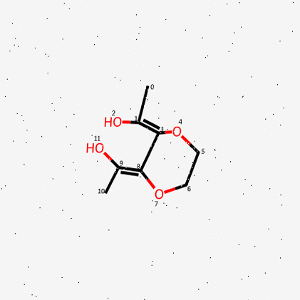 C/C(O)=C1\OCCO\C1=C(/C)O